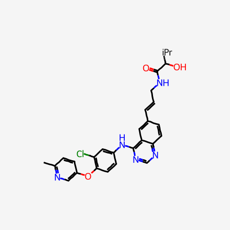 Cc1ccc(Oc2ccc(Nc3ncnc4ccc(C=CCNC(=O)C(O)C(C)C)cc34)cc2Cl)cn1